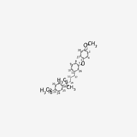 COc1ccc(Oc2cccc(CCCC(C)(C)c3ccc(SC)cc3)c2)cc1